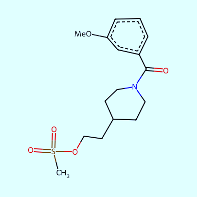 COc1cccc(C(=O)N2CCC(CCOS(C)(=O)=O)CC2)c1